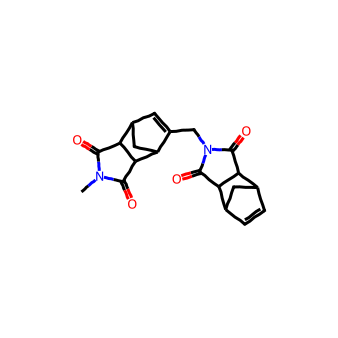 CN1C(=O)C2C3C=C(CN4C(=O)C5C6C=CC(C6)C5C4=O)C(C3)C2C1=O